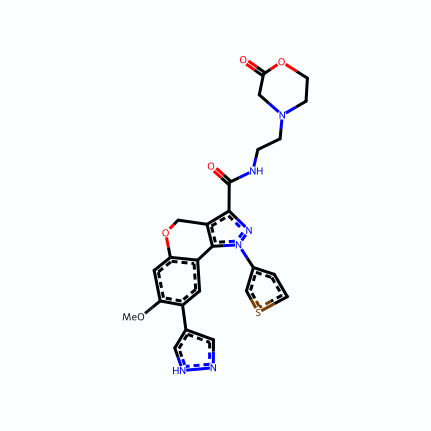 COc1cc2c(cc1-c1cn[nH]c1)-c1c(c(C(=O)NCCN3CCOC(=O)C3)nn1-c1ccsc1)CO2